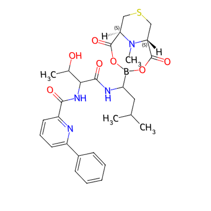 CC(C)CC(NC(=O)C(NC(=O)c1cccc(-c2ccccc2)n1)C(C)O)B1OC(=O)[C@H]2CSC[C@H](C(=O)O1)N2C